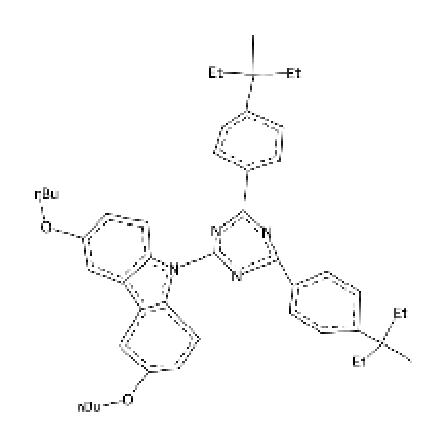 CCCCOc1ccc2c(c1)c1cc(OCCCC)ccc1n2-c1nc(-c2ccc(C(C)(CC)CC)cc2)nc(-c2ccc(C(C)(CC)CC)cc2)n1